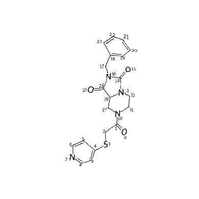 O=C(CSc1ccncc1)N1CCN2C(=O)N(Cc3ccccc3)C(=O)C2C1